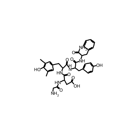 Cc1cc(CC(NC(=O)C(CC(=O)O)NC(=O)CN)C(=O)NC(Cc2ccc(O)cc2)C(=O)NC(Cc2ccccc2)C(N)=O)cc(C)c1O